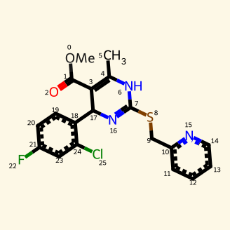 COC(=O)C1=C(C)NC(SCc2ccccn2)=NC1c1ccc(F)cc1Cl